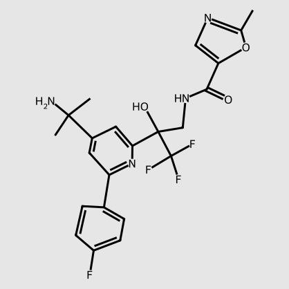 Cc1ncc(C(=O)NCC(O)(c2cc(C(C)(C)N)cc(-c3ccc(F)cc3)n2)C(F)(F)F)o1